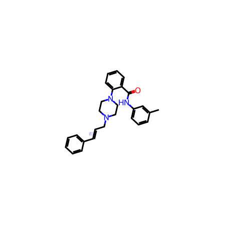 Cc1cccc(NC(=O)c2ccccc2N2CCN(C/C=C/c3ccccc3)CC2)c1